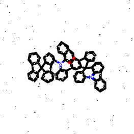 c1ccc(N(c2cccc3c2-c2ccccc2C32c3ccccc3-c3ccccc32)c2cccc3ccccc23)c(-c2ccc3c(c2)C2(c4ccccc4-3)c3ccccc3-n3c4ccccc4c4cccc2c43)c1